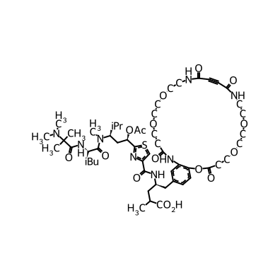 CC[C@H](C)[C@H](NC(=O)C(C)(C)N(C)C)C(=O)N(C)[C@H](C[C@@H](OC(C)=O)c1nc(C(=O)N[C@@H](Cc2ccc3c(c2)NC(=O)CCOCCOCCNC(=O)C#CC(=O)NCCOCCOCCC(=O)O3)CC(C)C(=O)O)cs1)C(C)C